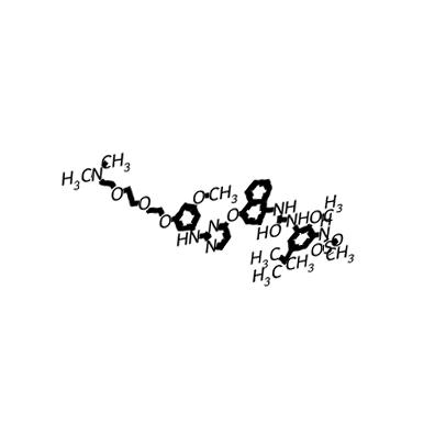 COc1cc(Nc2nccc(Oc3ccc(NC(O)Nc4cc(C(C)(C)C)cc(NS(C)(=O)=O)c4OC)c4ccccc34)n2)cc(OCCOCCOCCN(C)C)c1